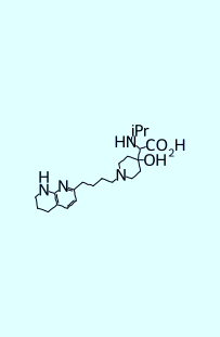 CC(C)NC(C(=O)O)C1(O)CCN(CCCCc2ccc3c(n2)NCCC3)CC1